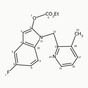 CCOC(=O)Oc1cc2cc(F)ccc2n1Cc1ncccc1C